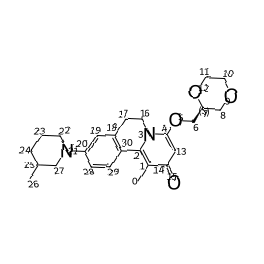 Cc1c2n(c(OC[C@@H]3COCCO3)cc1=O)CCc1cc(N3CCCC(C)C3)ccc1-2